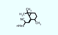 CCCCCCC(C#N)C=C1C(C)CCC2C1C2(C)C